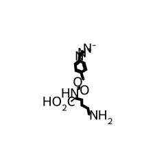 [N-]=[N+]=Nc1ccc(COC(=O)N[C@@H](CCCCN)C(=O)O)cc1